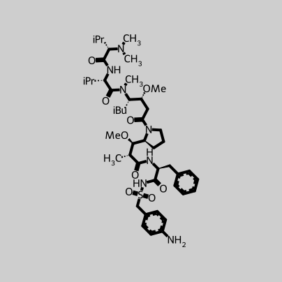 CCC(C)[C@@H]([C@@H](CC(=O)N1CCC[C@H]1[C@H](OC)[C@@H](C)C(=O)N[C@@H](Cc1ccccc1)C(=O)NS(=O)(=O)Cc1ccc(N)cc1)OC)N(C)C(=O)[C@@H](NC(=O)[C@H](C(C)C)N(C)C)C(C)C